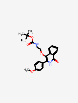 COc1ccc(-c2[nH]c(=O)c3ccccc3c2OCCNC(=O)OC(C)(C)C)cc1